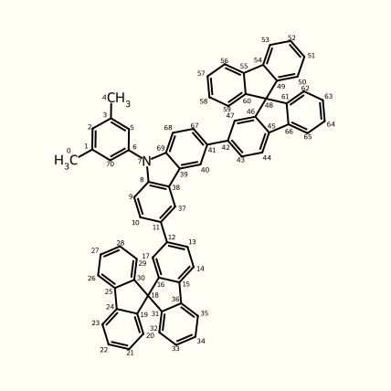 Cc1cc(C)cc(-n2c3ccc(-c4ccc5c(c4)C4(c6ccccc6-c6ccccc64)c4ccccc4-5)cc3c3cc(-c4ccc5c(c4)C4(c6ccccc6-c6ccccc64)c4ccccc4-5)ccc32)c1